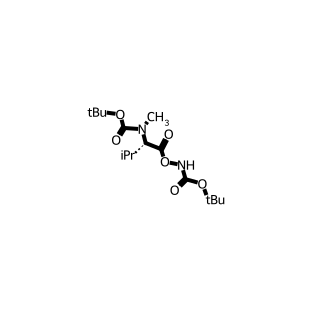 CC(C)[C@@H](C(=O)ONC(=O)OC(C)(C)C)N(C)C(=O)OC(C)(C)C